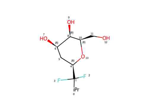 CC(C)C(F)(F)[C@H]1C[C@@H](O)[C@@H](O)[C@@H](CO)O1